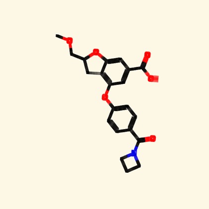 COCC1Cc2c(Oc3ccc(C(=O)N4CCC4)cc3)cc(C(=O)O)cc2O1